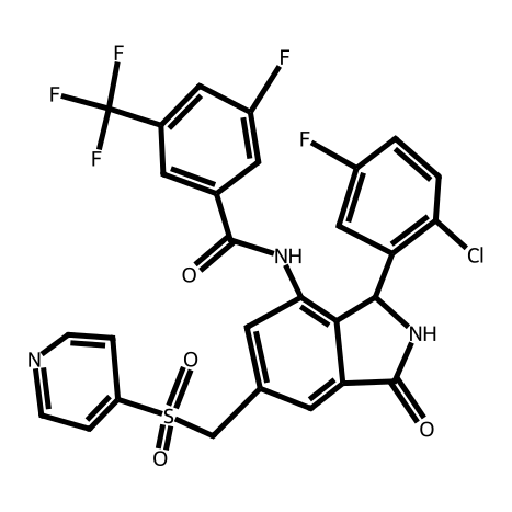 O=C(Nc1cc(CS(=O)(=O)c2ccncc2)cc2c1C(c1cc(F)ccc1Cl)NC2=O)c1cc(F)cc(C(F)(F)F)c1